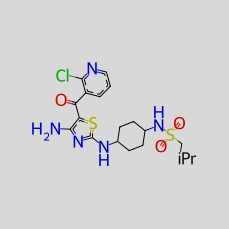 CC(C)CS(=O)(=O)NC1CCC(Nc2nc(N)c(C(=O)c3cccnc3Cl)s2)CC1